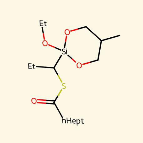 CCCCCCCC(=O)SC(CC)[Si]1(OCC)OCC(C)CO1